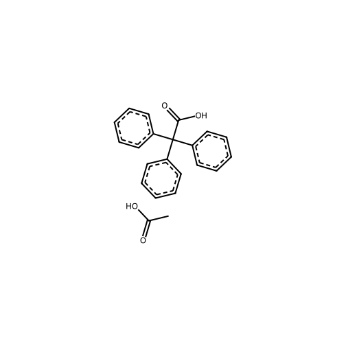 CC(=O)O.O=C(O)C(c1ccccc1)(c1ccccc1)c1ccccc1